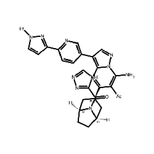 CCn1ccc(-c2ccc(-c3cnn4c(N)c(C(C)=O)c([C@H]5C[C@H]6CC[C@@H](C5)N6C(=O)c5nnc[nH]5)nc34)cn2)n1